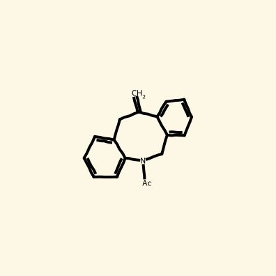 C=C1Cc2ccccc2N(C(C)=O)Cc2ccccc21